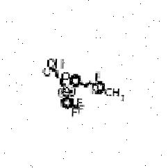 Cc1cnc(/C=C/c2ccc3c(c2)N(S(=O)(=O)c2cccc(C(F)(F)F)c2)C[C@H](CCC(=O)O)O3)c(F)c1